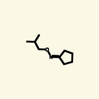 CC(C)CON=C1CCCC1